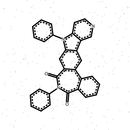 O=c1c2ccccc2c2cc3c4cnccc4n(-c4ccccc4)c3cc2c(=O)n1-c1ccccc1